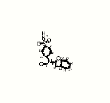 NS(=O)(=O)c1ccc(N(C=O)c2cc3ccccc3o2)cc1